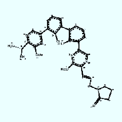 COc1nc(-c2cccc(-c3cccc(-c4cnc([C@@H](C)N)c(OC)n4)c3Cl)c2Cl)cnc1C=NCN1CCCC1=O